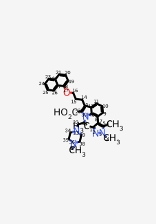 Cc1nn(C)c(C)c1-c1cccc2c(CCCOc3cccc4ccccc34)c(C(=O)O)n(CCN3CCN(C)CC3)c12